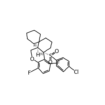 O=S(=O)(c1ccc(Cl)cc1)[C@@]12CCCC3(CCCCC3)[C@@H]1COc1c(F)ccc(F)c12